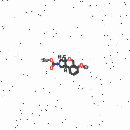 CCOc1cccc2c1CO[C@@]1(C)CN(C(=O)OC(C)(C)C)C[C@@H]21